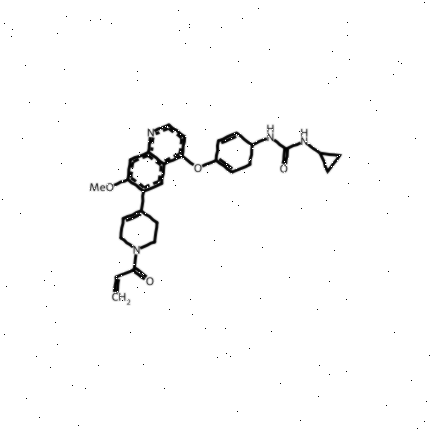 C=CC(=O)N1CC=C(c2cc3c(OC4=CCC(NC(=O)NC5CC5)C=C4)ccnc3cc2OC)CC1